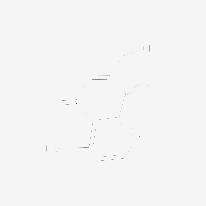 CCC1=CC(=O)c2c(O)cccc2C1=O